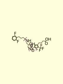 CN(CC(O)CNC(C)(C)CCCc1c(F)cccc1F)S(=O)(=O)c1cc(CCCC(=O)O)c(C(F)(F)F)s1